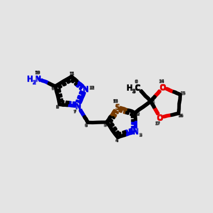 CC1(c2ncc(Cn3cc(N)cn3)s2)OCCO1